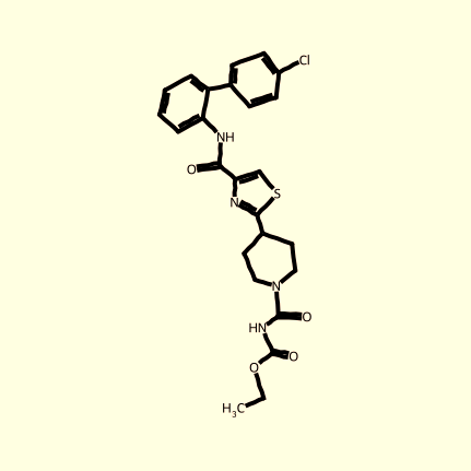 CCOC(=O)NC(=O)N1CCC(c2nc(C(=O)Nc3ccccc3-c3ccc(Cl)cc3)cs2)CC1